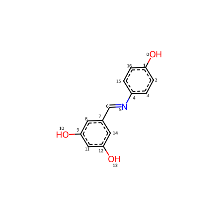 Oc1ccc(N=Cc2cc(O)cc(O)c2)cc1